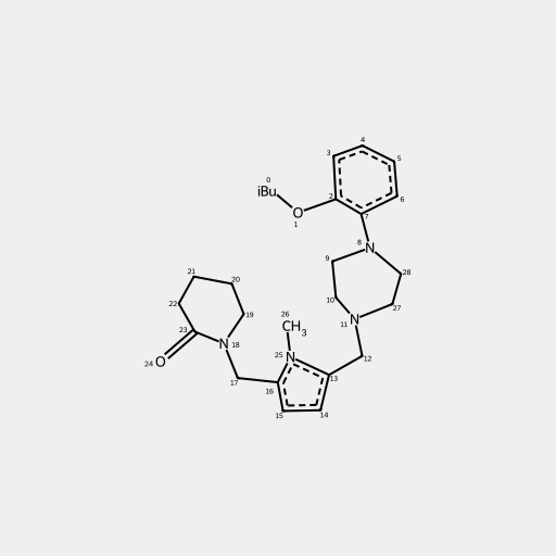 CCC(C)Oc1ccccc1N1CCN(Cc2ccc(CN3CCCCC3=O)n2C)CC1